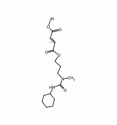 CC(C)OC(=O)/C=C/C(=O)OCCCN(C)C(=O)NC1CCCCC1